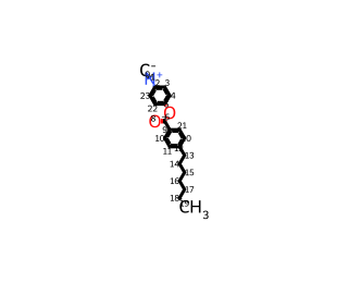 [C-]#[N+]c1ccc(OC(=O)c2ccc(CCCCCCC)cc2)cc1